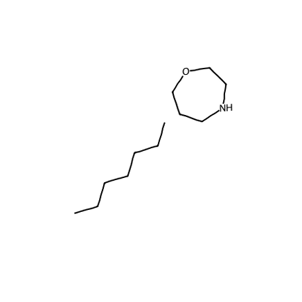 C1CNCCOC1.CCCCCCC